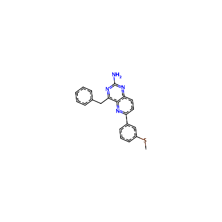 CSc1cccc(-c2ccc3nc(N)nc(Cc4ccccc4)c3n2)c1